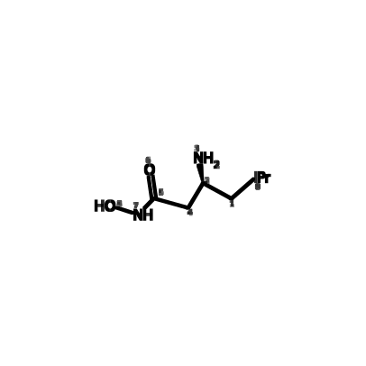 CC(C)C[C@H](N)CC(=O)NO